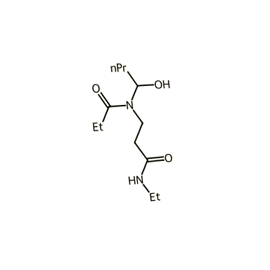 CCCC(O)N(CCC(=O)NCC)C(=O)CC